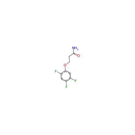 NC(=O)CCOc1cc(F)c(F)cc1F